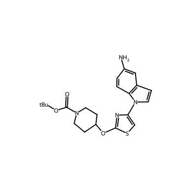 CC(C)(C)OC(=O)N1CCC(Oc2nc(-n3ccc4cc(N)ccc43)cs2)CC1